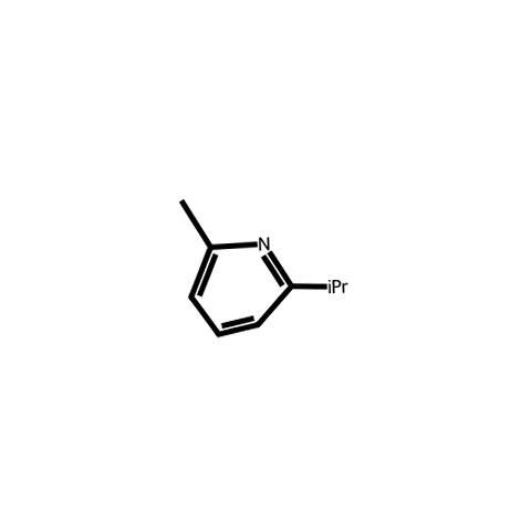 [CH2]C(C)c1cccc(C)n1